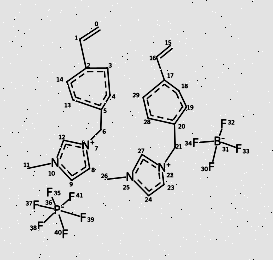 C=Cc1ccc(C[n+]2ccn(C)c2)cc1.C=Cc1ccc(C[n+]2ccn(C)c2)cc1.F[B-](F)(F)F.F[P-](F)(F)(F)(F)F